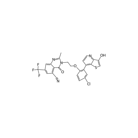 Cc1nc2cc(C(F)(F)F)cc(C#N)c2c(=O)n1CCOc1ccc(Cl)cc1-c1ccnc2c(O)csc12